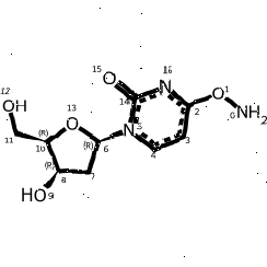 NOc1ccn([C@H]2C[C@@H](O)[C@@H](CO)O2)c(=O)n1